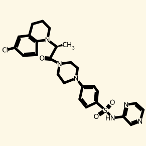 C[C@@H](C(=O)N1CCN(c2ccc(S(=O)(=O)Nc3cnccn3)cc2)CC1)N1CCCc2cc(Cl)ccc21